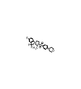 C[C@@H]1CN(c2ccc(F)cc2C(F)(F)F)CCN1S(=O)(=O)c1ccc(N2CCOCC2)cc1